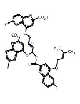 CC(C)=CCOc1cc(C(=O)OC(/C=C/COc2cc(C(=O)O)nc3ccc(F)cc23)Oc2cc(C(=O)O)nc3ccc(F)cc23)nc2ccc(F)cc12